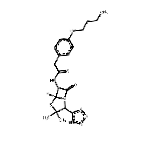 CCCCNc1ccc(CC(=O)NC2C(=O)N3C(c4nnn[nH]4)C(C)(C)S[C@H]23)cc1